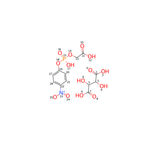 O=C(O)C(O)C(O)C(=O)O.O=C(O)COP(=O)(O)Oc1ccc([N+](=O)[O-])cc1